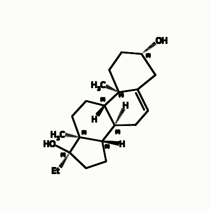 CC[C@@]1(O)CC[C@H]2[C@@H]3CC=C4C[C@@H](O)CC[C@]4(C)[C@H]3CC[C@@]21C